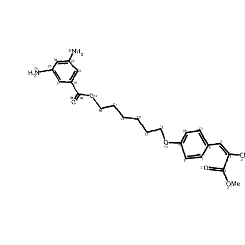 COC(=O)C(C#N)=Cc1ccc(OCCCCCCOC(=O)c2cc(N)cc(N)c2)cc1